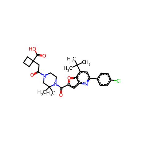 CC(C)(C)c1cc(-c2ccc(Cl)cc2)nc2cc(C(=O)N3CCN(C(=O)CC4(C(=O)O)CCC4)CC3(C)C)oc12